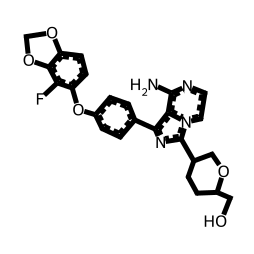 Nc1nccn2c(C3CCC(CO)OC3)nc(-c3ccc(Oc4ccc5c(c4F)OCO5)cc3)c12